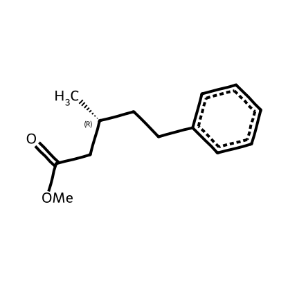 COC(=O)C[C@H](C)CCc1ccccc1